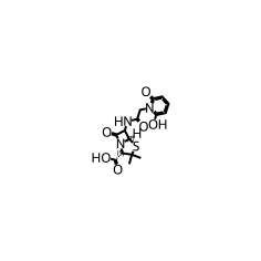 CC1(C)S[C@@H]2C(NC(=O)Cn3c(O)cccc3=O)C(=O)N2[C@H]1C(=O)O